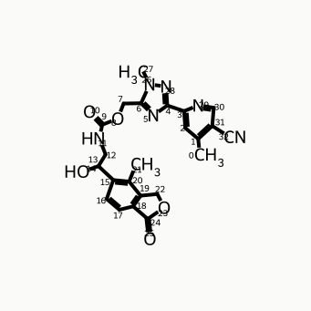 Cc1cc(-c2nc(COC(=O)NCC(O)c3ccc4c(c3C)COC4=O)n(C)n2)ncc1C#N